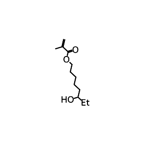 C=C(C)C(=O)OCCCCCC(O)CC